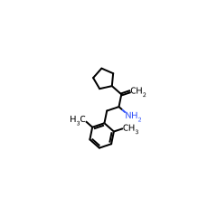 C=C(C(N)Cc1c(C)cccc1C)C1CCCC1